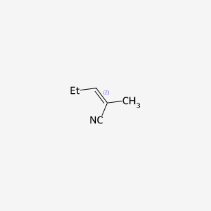 CC/C=C(/C)C#N